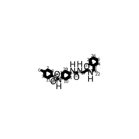 Cc1ccc(S(=O)(=O)Nc2ccc(NC(=O)NCC(=O)N[C@@H](C)c3ccccc3)cc2)cc1